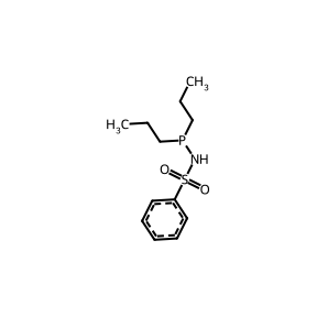 CCCP(CCC)NS(=O)(=O)c1ccccc1